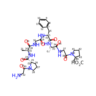 C[C@H](NC(=O)[C@H](Cc1ccccc1)NC(=O)CNC(=O)[C@H](C)NC(=O)[C@@H]1CCCN1C(=O)CN)C(=O)NCC(=O)N1CCC[C@H]1C(=O)O